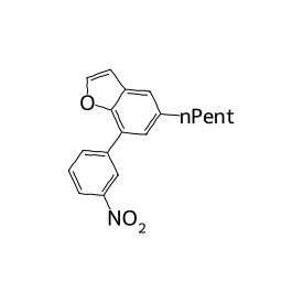 CCCCCc1cc(-c2cccc([N+](=O)[O-])c2)c2occc2c1